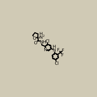 N[C@@]1(C(=O)NCc2ncc(Nc3ccc(Cl)cc3C(F)(F)F)cc2Cl)CCCO1